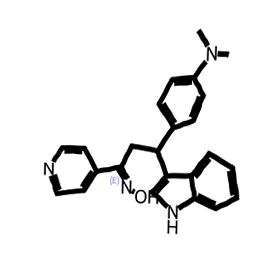 CN(C)c1ccc(C(C/C(=N\O)c2ccncc2)c2c[nH]c3ccccc23)cc1